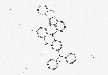 Cc1cc2c3c(c1)-n1c4c(c5cccc(c51)B3c1ccc(N(c3ccccc3)c3ccccc3)cc1S2)C(C)(C)c1ccccc1-4